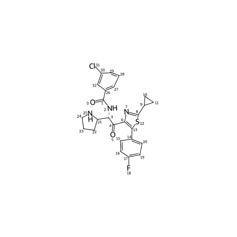 O=C(N[C@H](C(=O)c1nc(C2CC2)sc1-c1ccc(F)cc1)C1CCCN1)c1cccc(Cl)c1